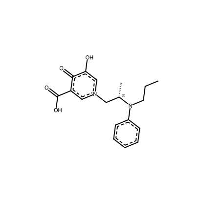 CCCN(c1ccccc1)[C@@H](C)Cn1cc(O)c(=O)c(C(=O)O)c1